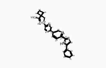 O=C(O)C1(COc2cnc(-c3ccc(-c4ncc(-c5ccccc5)[nH]4)nc3)cn2)CCC1